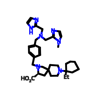 CCC1(N2CCC3(CC2)C[C@@H](C(=O)O)N(Cc2ccc(CN(Cc4ncc[nH]4)Cc4nccn4C)cc2)C3)CCCCC1